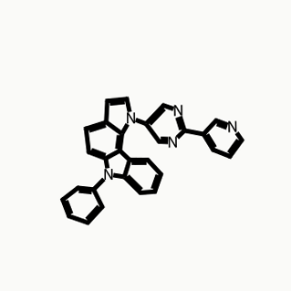 c1ccc(-n2c3ccccc3c3c4c(ccc32)ccn4-c2cnc(-c3cccnc3)nc2)cc1